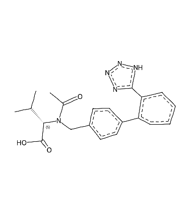 CC(=O)N(Cc1ccc(-c2ccccc2-c2nnn[nH]2)cc1)[C@H](C(=O)O)C(C)C